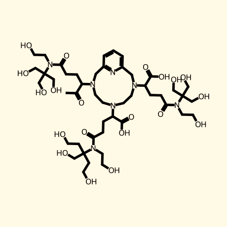 CC(=O)C(CCC(=O)N(CCO)C(CO)(CO)CO)N1CCN(C(CCC(=O)N(CCO)C(CO)(CCO)CCO)C(=O)O)CCN(C(CCC(=O)N(CCO)C(CO)(CO)CO)C(=O)O)Cc2cccc(n2)C1